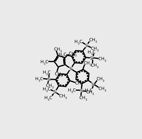 CC1=C(C)C(C)C([Si](c2cc([Si](C)(C)C)c([Si](C)(C)C)cc2C)(c2cc([Si](C)(C)C)c([Si](C)(C)C)cc2C)c2cc([Si](C)(C)C)c([Si](C)(C)C)cc2C)=C1C